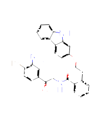 Nc1cc(C(=O)CNC(=O)c2ccccc2CCOc2ccc3c(c2)[nH]c2ccccc23)ccc1Br